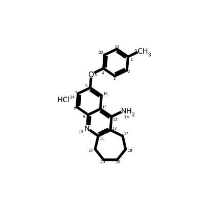 Cc1ccc(Oc2ccc3nc4c(c(N)c3c2)CCCCC4)cc1.Cl